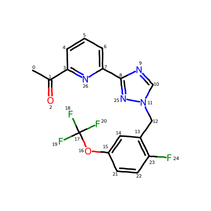 CC(=O)c1cccc(-c2ncn(Cc3cc(OC(F)(F)F)ccc3F)n2)n1